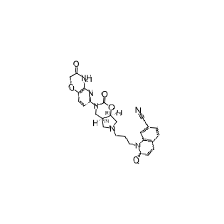 N#Cc1ccc2ccc(=O)n(CCCN3C[C@H]4CN(c5ccc6c(n5)NC(=O)CO6)C(=O)O[C@H]4C3)c2c1